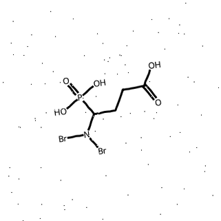 O=C(O)CCC(N(Br)Br)P(=O)(O)O